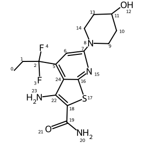 CCC(F)(F)c1cc(N2CCC(O)CC2)nc2sc(C(N)=O)c(N)c12